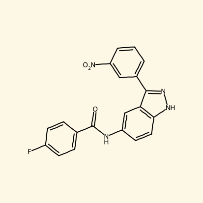 O=C(Nc1ccc2[nH]nc(-c3cccc([N+](=O)[O-])c3)c2c1)c1ccc(F)cc1